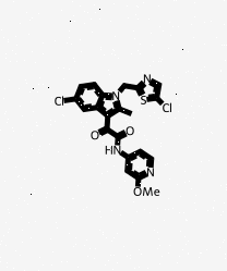 COc1cc(NC(=O)C(=O)c2c(C)n(Cc3ncc(Cl)s3)c3ccc(Cl)cc23)ccn1